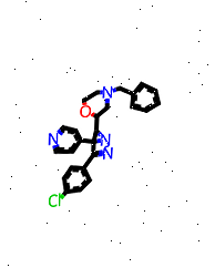 Clc1ccc(C2=NN3C(C4CN(Cc5ccccc5)CCO4)C23c2ccncc2)cc1